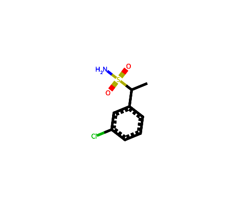 CC(c1cccc(Cl)c1)S(N)(=O)=O